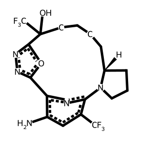 Nc1cc(C(F)(F)F)c2nc1-c1nnc(o1)C(O)(C(F)(F)F)CCCC[C@@H]1CCCN21